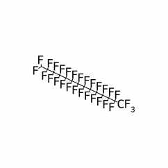 FC(F)C(F)(F)C(F)(F)C(F)(F)C(F)(F)C(F)(F)C(F)(F)C(F)(F)C(F)(F)C(F)(F)C(F)(F)C(F)(F)C(F)(F)C(F)(F)F